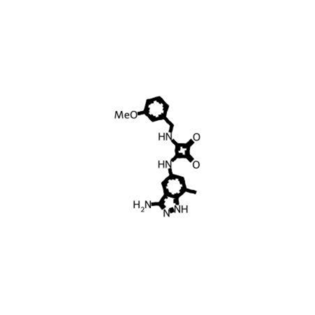 COc1cccc(CNc2c(Nc3cc(C)c4[nH]nc(N)c4c3)c(=O)c2=O)c1